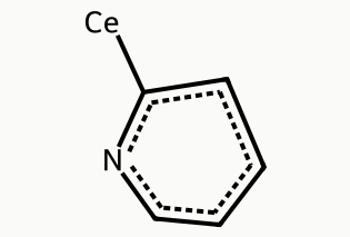 [Ce][c]1ccccn1